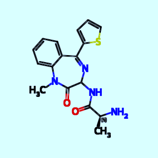 C[C@H](N)C(=O)NC1N=C(c2cccs2)c2ccccc2N(C)C1=O